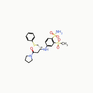 CS(=O)(=O)c1cc(N[C@@H](CSc2ccccc2)CC(=O)N2CCCC2)ccc1S(N)(=O)=O